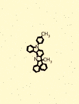 Cc1ccc(-n2c3ccccc3c3c4c(ccc32)C(C)(c2ccccc2)C(c2ccccc2)=N4)cc1